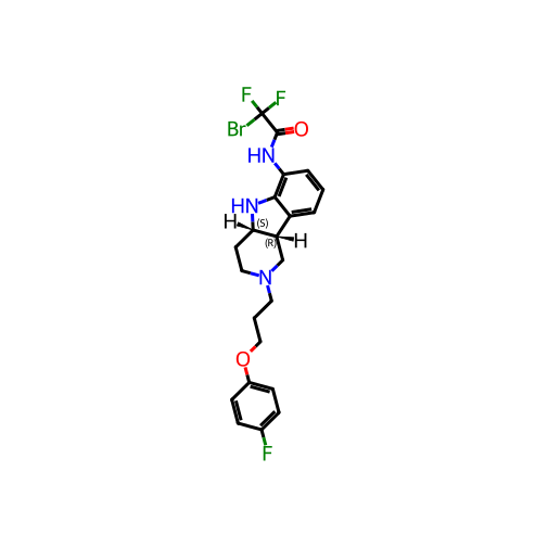 O=C(Nc1cccc2c1N[C@H]1CCN(CCCOc3ccc(F)cc3)C[C@@H]21)C(F)(F)Br